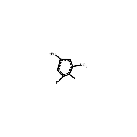 Cc1c(F)cc(C(C)(C)C)cc1[N+](=O)[O-]